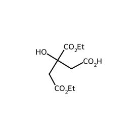 CCOC(=O)CC(O)(CC(=O)O)C(=O)OCC